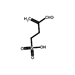 C=C([C]=O)CCS(=O)(=O)O